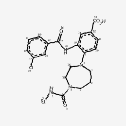 CCNC(=O)N1CCCN(c2ccc(C(=O)O)cc2NC(=O)c2cccc(Cl)c2)CC1